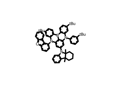 CC(C)(C)c1cccc(N2c3cc(C(C)(C)C)ccc3B3c4ccc(C(C)(C)C)cc4N(c4cccc5oc6ccccc6c45)c4cc(N5c6ccccc6C6(C)CCCCC56C)cc2c43)c1